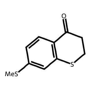 CSc1ccc2c(c1)SCCC2=O